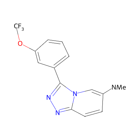 CNc1ccc2nnc(-c3cccc(OC(F)(F)F)c3)n2c1